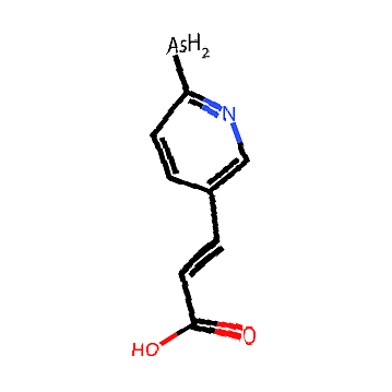 O=C(O)C=Cc1ccc([AsH2])nc1